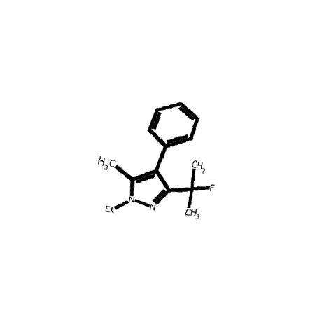 CCn1nc(C(C)(C)F)c(-c2ccccc2)c1C